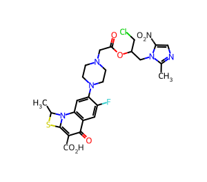 Cc1ncc([N+](=O)[O-])n1CC(CCl)OC(=O)CN1CCN(c2cc3c(cc2F)c(=O)c(C(=O)O)c2n3C(C)S2)CC1